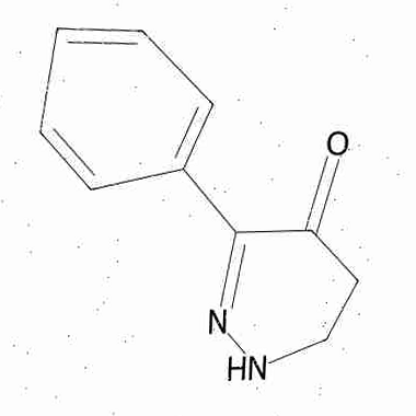 O=C1CCNN=C1c1ccccc1